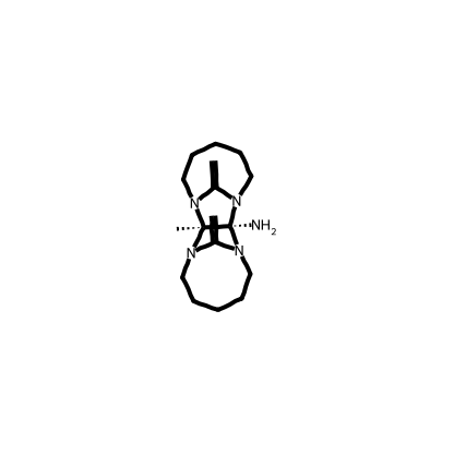 C=C1N2CCCCCN1[C@]1(N)N3CCCCCN(C3=C)[C@]21C